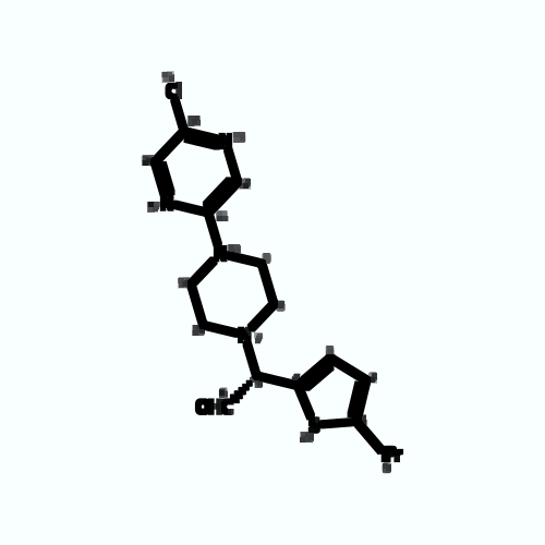 CC(C)c1ccc([C@H](C=O)N2CCN(c3cnc(Cl)cn3)CC2)s1